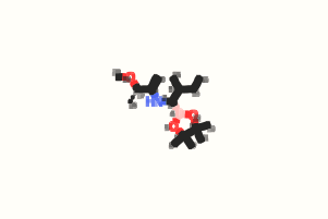 C=C(NC(B1OC(C)(C)C(C)(C)O1)C(C)CC)[C@H](C)OC